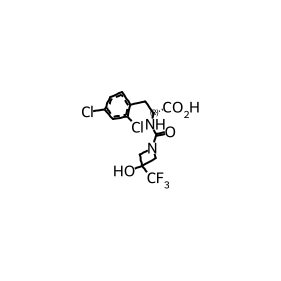 O=C(O)[C@@H](Cc1ccc(Cl)cc1Cl)NC(=O)N1CC(O)(C(F)(F)F)C1